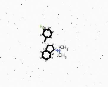 CN(C)[C@@H]1C[C@@H](Cc2cccc(F)c2)c2ccccc21